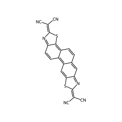 N#CC(C#N)=c1nc2cc3ccc4c(ccc5nc(=C(C#N)C#N)sc54)c3cc2s1